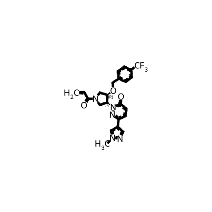 C=CC(=O)N1C[C@@H](n2nc(-c3cnn(C)c3)ccc2=O)[C@H](OCc2ccc(C(F)(F)F)cc2)C1